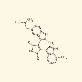 Cc1oc2ccc(CN(C)C)cc2c1C1=C(c2c[nH]c3c(C)cccc23)C(=O)NC1=O